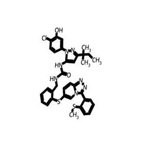 CCC(C)(C)c1cc(NC(=O)NCc2ccccc2Sc2ccc3nnc(-c4ccccc4SC)n3c2)n(-c2ccc(Cl)c(O)c2)n1